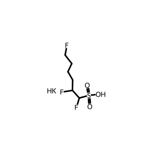 O=S(=O)(O)C(F)C(F)CCCCF.[KH]